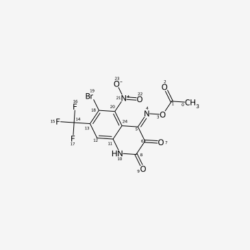 CC(=O)ON=C1C(=O)C(=O)Nc2cc(C(F)(F)F)c(Br)c([N+](=O)[O-])c21